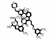 COCCn1c(C(O)O)cc2cc(C)cc(N3C[C@@H](C)n4c(c(CCCOc5cc(C)c(Cl)c(C)c5)c5ccc(Cl)c(-c6c(C)nc(CN7CCOCC7)nc6C)c54)C3=O)c21